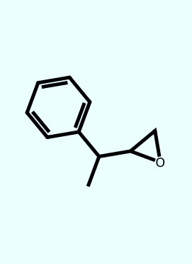 C[C](c1ccccc1)C1CO1